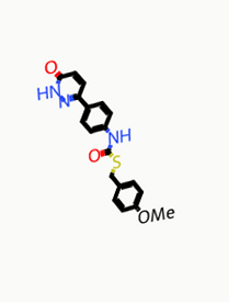 COc1ccc(CSC(=O)Nc2ccc(-c3ccc(=O)[nH]n3)cc2)cc1